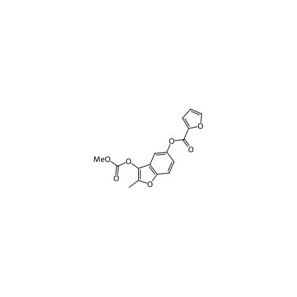 COC(=O)Oc1c(C)oc2ccc(OC(=O)c3ccco3)cc12